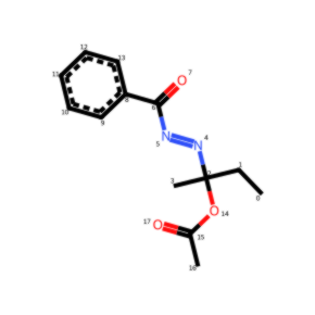 CCC(C)(/N=N/C(=O)c1ccccc1)OC(C)=O